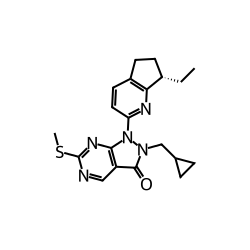 CC[C@H]1CCc2ccc(-n3c4nc(SC)ncc4c(=O)n3CC3CC3)nc21